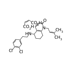 CC(C)=CCn1c2c(ccc1=O)C(NCCc1ccc(Cl)c(Cl)c1)CCC2.O=C(O)/C=C\C(=O)O